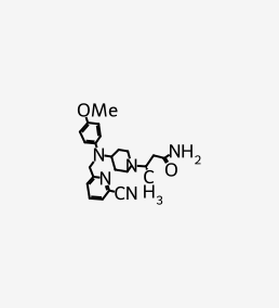 COc1ccc(N(Cc2cccc(C#N)n2)C2CCN([C@H](C)CC(N)=O)CC2)cc1